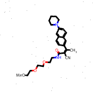 COCCOCCOCCNC(=O)/C(C#N)=C(/C)c1ccc2cc(N3CCCCC3)ccc2c1